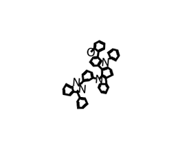 c1ccc(-c2nc(-c3cccc(-n4c5ccccc5c5ccc6c(c7ccc8oc9ccccc9c8c7n6-c6ccccc6)c54)c3)nc3ccccc23)cc1